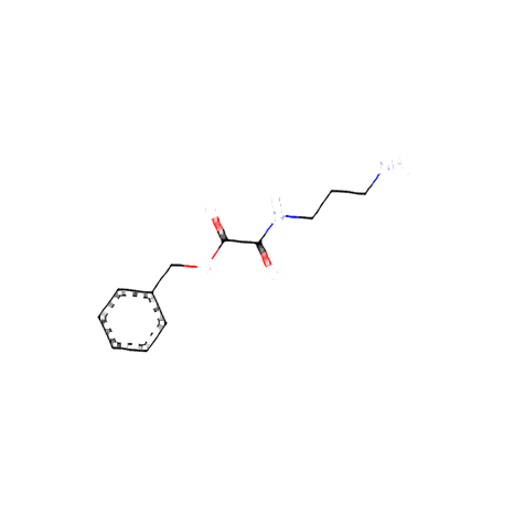 NCCCNC(=O)C(=O)OCc1ccccc1